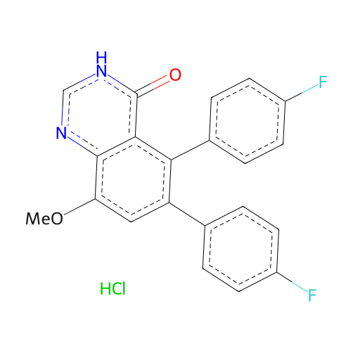 COc1cc(-c2ccc(F)cc2)c(-c2ccc(F)cc2)c2c(=O)[nH]cnc12.Cl